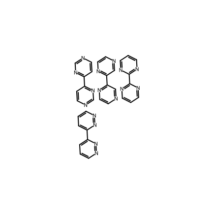 c1cc(-c2ccncn2)ncn1.c1cnc(-c2cnccn2)cn1.c1cnc(-c2ncccn2)nc1.c1cnnc(-c2cccnn2)c1